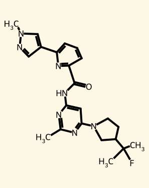 Cc1nc(NC(=O)c2cccc(-c3cnn(C)c3)n2)cc(N2CCC(C(C)(C)F)C2)n1